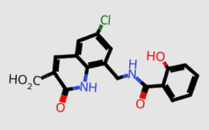 O=C(NCc1cc(Cl)cc2cc(C(=O)O)c(=O)[nH]c12)c1ccccc1O